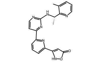 Cc1cccnc1[C@H](C)Nc1nccc(-c2cccc(-c3cc(=O)o[nH]3)n2)n1